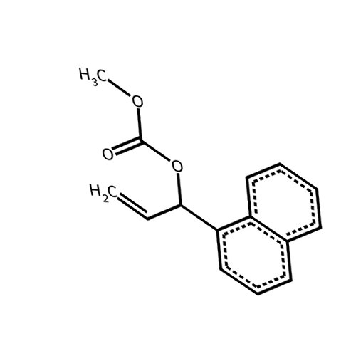 C=CC(OC(=O)OC)c1cccc2ccccc12